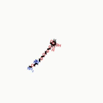 NCCOCc1cn(CCOCCOCCOCCOC[C@]23CO[C@H](C[C@@H](O)[C@H]2O)O3)nn1